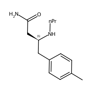 CCCN[C@H](CC(N)=O)Cc1ccc(C)cc1